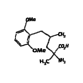 COc1cccc(OC)c1CC(C)CC(C)(N)C(=O)O